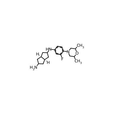 CC1CN(c2ccc(NC3C[C@H]4CC(N)C[C@H]4C3)cc2F)CC(C)O1